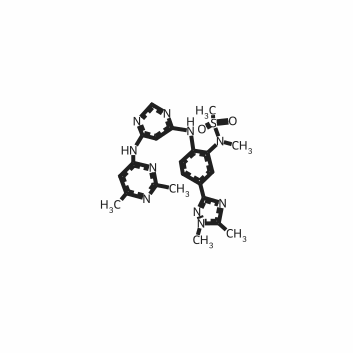 Cc1cc(Nc2cc(Nc3ccc(-c4nc(C)n(C)n4)cc3N(C)S(C)(=O)=O)ncn2)nc(C)n1